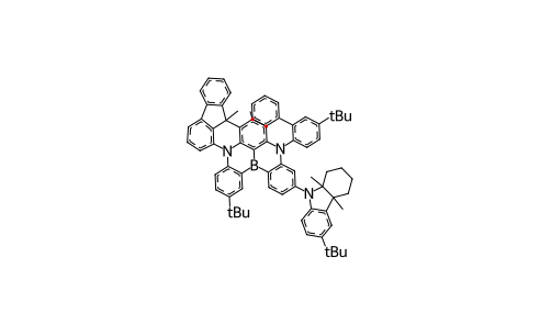 Cc1cc2c3c4c1C1(C)c5ccccc5-c5cccc(c51)N4c1ccc(C(C)(C)C)cc1B3c1ccc(N3c4ccc(C(C)(C)C)cc4C4(C)CCCCC34C)cc1N2c1ccc(C(C)(C)C)cc1-c1ccccc1